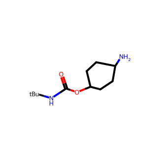 CC(C)(C)NC(=O)OC1CCC(N)CC1